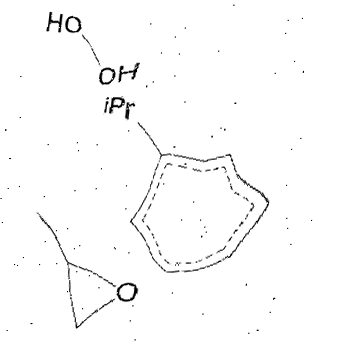 CC(C)c1ccccc1.CC1CO1.OO